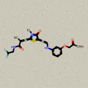 CCn1c(=C=C(C#N)C(=O)NCC(F)F)sc(=C=CNc2cccc(OCC(=O)OC)c2)c1=O